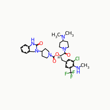 CNc1c(Cl)cc(C[C@@H](OC(=O)N2CCC(N3Cc4ccccc4NC3=O)CC2)C(=O)N2CCC(N(C)C)CC2)cc1C(F)(F)F